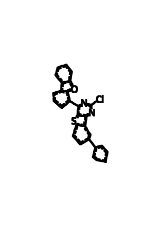 Clc1nc(-c2cccc3c2oc2ccccc23)c2sc3ccc(-c4ccccc4)cc3c2n1